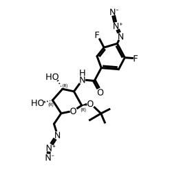 CC(C)(C)O[C@H]1OC(CN=[N+]=[N-])[C@H](O)[C@H](O)C1NC(=O)c1cc(F)c(N=[N+]=[N-])c(F)c1